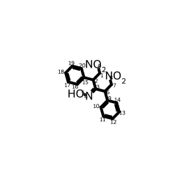 O=[N+]([O-])CC(C(=NO)C(C[N+](=O)[O-])c1ccccc1)c1ccccc1